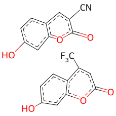 N#Cc1cc2ccc(O)cc2oc1=O.O=c1cc(C(F)(F)F)c2ccc(O)cc2o1